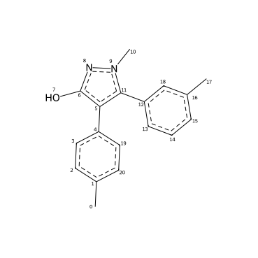 Cc1ccc(-c2c(O)nn(C)c2-c2cccc(C)c2)cc1